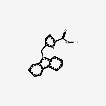 O=C(NO)c1ccc(Cn2c3ccccc3c3ccccc32)s1